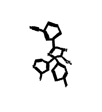 C[C@@H]1NC(c2cccc(C#N)c2)=N[C@@]1(c1ccc(F)cc1)c1ccnc(F)c1